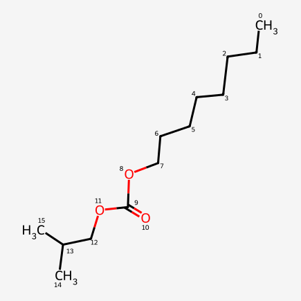 CCCCCCCCOC(=O)OCC(C)C